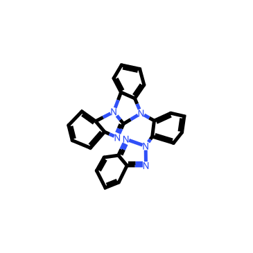 c1ccc(-n2c3ccccc3n3c4ccccc4nc23)c(-n2nc3ccccc3n2)c1